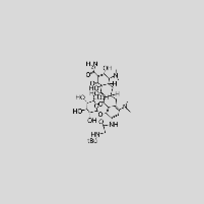 CN(C)c1cc(NC(=O)CNC(C)(C)C)c(O[C@@H]2O[C@H](C(=O)O)[C@@H](O)[C@H](O)[C@H]2O)c2c1C[C@H]1C[C@H]3[C@H](N(C)C)C(O)=C(C(N)=O)C(=O)[C@@]3(O)C(O)=C1C2=O